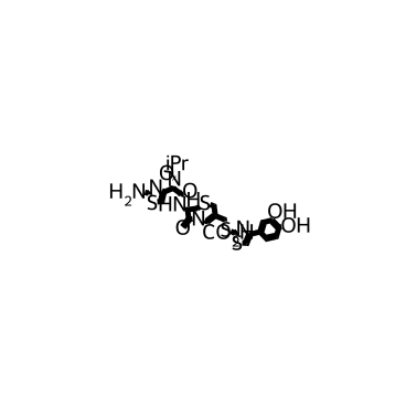 CC(C)O/N=C(/C(=O)N[C@@H]1C(=O)N2C(C(=O)O)=C(CSc3nc(-c4ccc(O)c(O)c4)cs3)CS[C@H]12)c1csc(N)n1